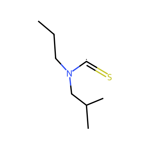 CCCN([C]=S)CC(C)C